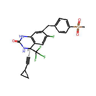 CS(=O)(=O)c1ccc(Cc2cc3c(cc2F)[C@@](C#CC2CC2)(C(F)(F)F)NC(=O)N3)cc1